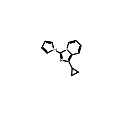 C1=C[SH](c2nc(C3CC3)c3ccccn23)C=C1